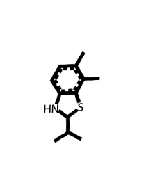 Cc1ccc2c(c1C)SC(C(C)C)N2